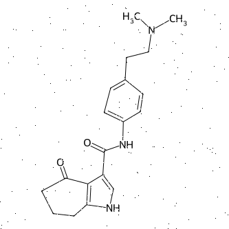 CN(C)CCc1ccc(NC(=O)c2c[nH]c3c2C(=O)CCC3)cc1